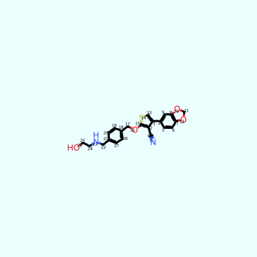 N#Cc1c(-c2ccc3c(c2)OCO3)csc1OCc1ccc(CNCCO)cc1